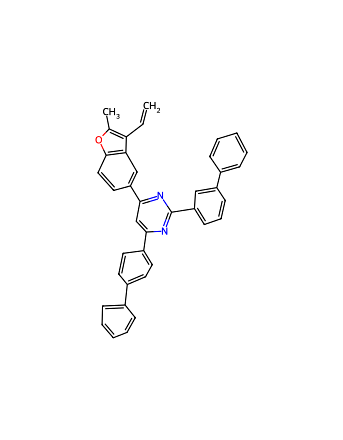 C=Cc1c(C)oc2ccc(-c3cc(-c4ccc(-c5ccccc5)cc4)nc(-c4cccc(-c5ccccc5)c4)n3)cc12